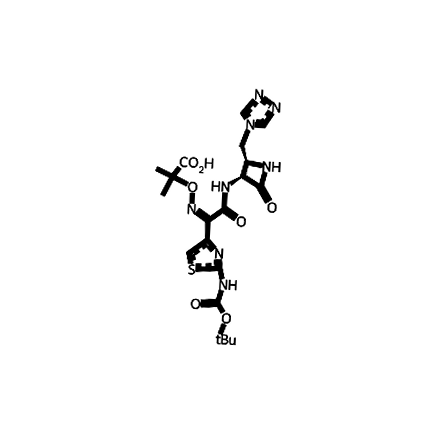 CC(C)(C)OC(=O)Nc1nc(/C(=N/OC(C)(C)C(=O)O)C(=O)N[C@@H]2C(=O)N[C@@H]2Cn2cnnc2)cs1